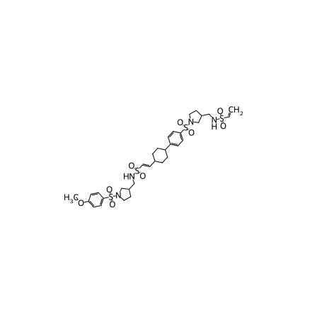 C=CS(=O)(=O)NCC1CCN(S(=O)(=O)c2ccc(C3CCC(/C=C/S(=O)(=O)NCC4CCN(S(=O)(=O)c5ccc(OC)cc5)C4)CC3)cc2)C1